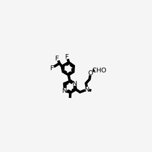 Cc1ncc(-c2ccc(F)c(C(F)F)c2)nc1CN(C)CCOC=O